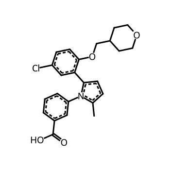 Cc1ccc(-c2cc(Cl)ccc2OCC2CCOCC2)n1-c1cccc(C(=O)O)c1